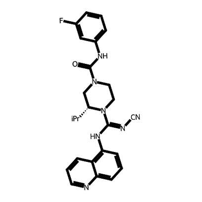 CC(C)[C@@H]1CN(C(=O)Nc2cccc(F)c2)CCN1/C(=N\C#N)Nc1cccc2ncccc12